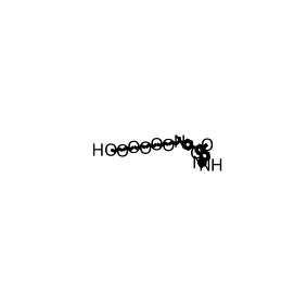 CN(CCOCCOCCOCCOCCOCCO)c1ccc(-c2cc(=O)c3ccc4[nH]cnc4c3o2)cc1